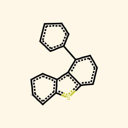 [c]1ccc2c(c1)sc1cccc(-c3ccccc3)c12